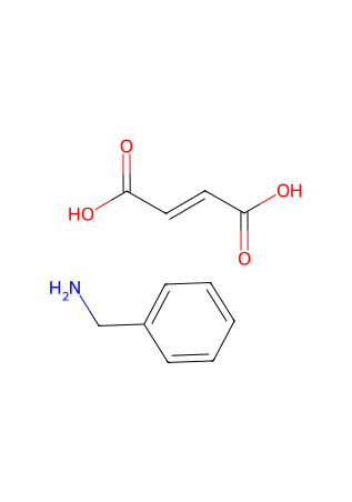 NCc1ccccc1.O=C(O)C=CC(=O)O